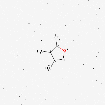 CC1COC(C(F)(F)F)C1C